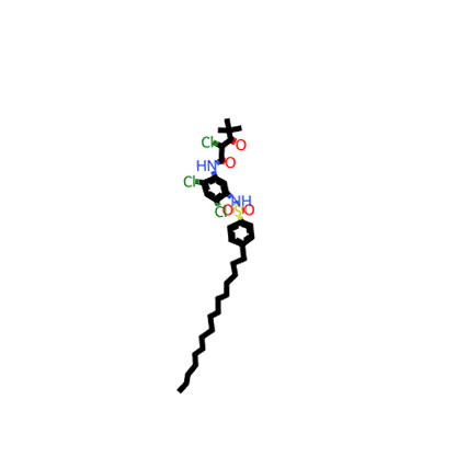 CCCCCCCCCCCCCCCCc1ccc(S(=O)(=O)Nc2cc(NC(=O)C(Cl)C(=O)C(C)(C)C)c(Cl)cc2Cl)cc1